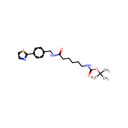 CC(C)(C)OC(=O)NCCCCCC(=O)NCc1ccc(-c2nccs2)cc1